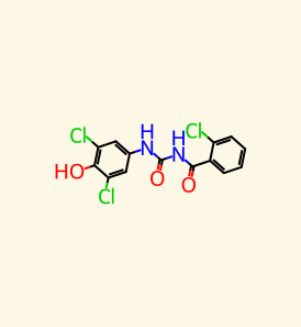 O=C(NC(=O)c1ccccc1Cl)Nc1cc(Cl)c(O)c(Cl)c1